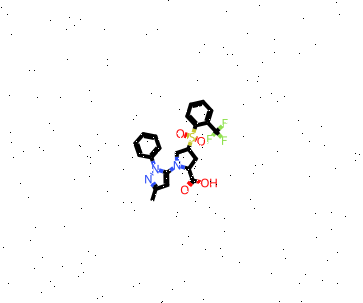 Cc1cc(N2CC(S(=O)(=O)c3ccccc3C(F)(F)F)CC2C(=O)O)n(-c2ccccc2)n1